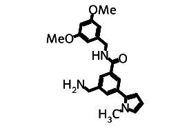 COc1cc(CNC(=O)c2cc(CN)cc(-c3cccn3C)c2)cc(OC)c1